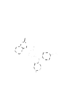 C[C@@H]1CN(c2nc(=O)n(C)c3ccc(C#N)nc23)[C@@H](C)CN1C(c1ccc(F)cc1)c1ccc(C#N)cc1